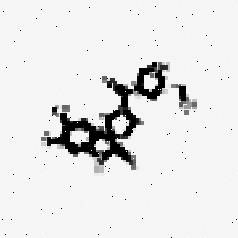 O=C([C@H]1CN[C@H](CO)C1)N1CC[C@]2(C1)C(=O)Nc1cc(Cl)c(Cl)cc12